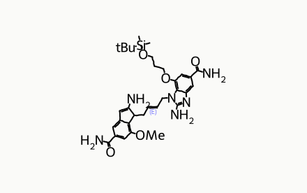 COc1cc(C(N)=O)cc2c1C(C/C=C/Cn1c(N)nc3cc(C(N)=O)cc(OCCCO[Si](C)(C)C(C)(C)C)c31)C(N)=C2